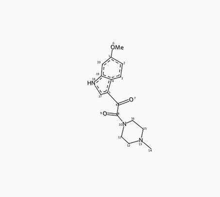 COc1ccc2c(C(=O)C(=O)N3CCN(C)CC3)c[nH]c2c1